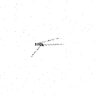 CCCCCCCCCCCCCCC(C)[n+]1c(CCCCCCCCCCCC)c[nH]c1CCCCCCCCCC